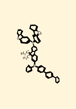 CC1(C)c2cc(N(c3ccccc3)c3ccc(-c4ccc(-c5ccccc5)cc4)cc3)ccc2-c2ccc(N(c3ccc4oc5ccccc5c4c3)c3ccc4oc5ccccc5c4c3)cc21